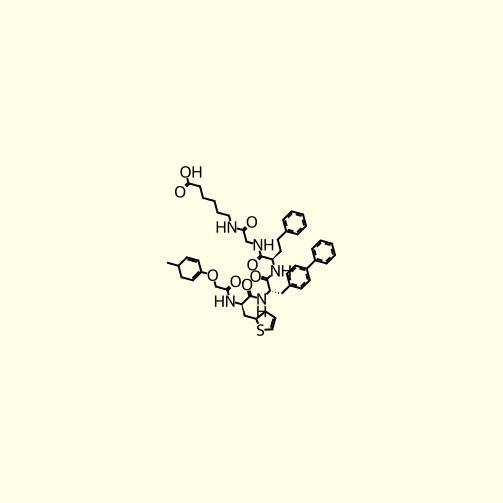 CC1C=CC(OCC(=O)N[C@H](CC2CC=CS2)C(=O)N[C@@H](Cc2ccc(-c3ccccc3)cc2)C(=O)N[C@H](CCc2ccccc2)C(=O)NCC(=O)NCCCCCC(=O)O)=CC1